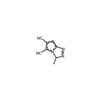 CC1N=Nc2cc(C#N)c(C#N)n21